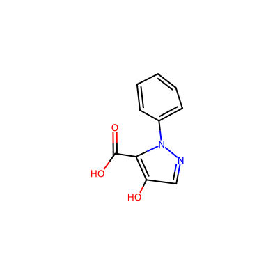 O=C(O)c1c(O)cnn1-c1ccccc1